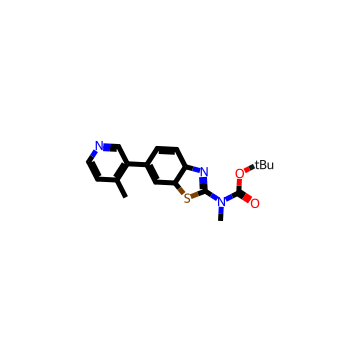 Cc1ccncc1C1=CC2SC(N(C)C(=O)OC(C)(C)C)=NC2C=C1